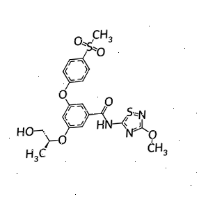 COc1nsc(NC(=O)c2cc(Oc3ccc(S(C)(=O)=O)cc3)cc(O[C@@H](C)CO)c2)n1